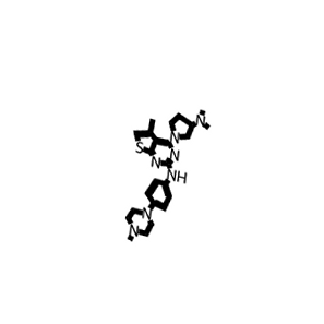 Cc1csc2nc(Nc3ccc(N4CCN(C)CC4)cc3)nc(N3CCC(N(C)C)C3)c12